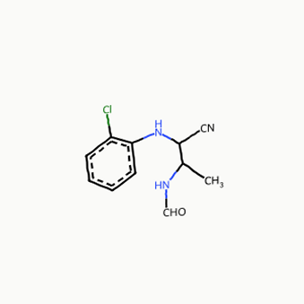 CC(NC=O)C(C#N)Nc1ccccc1Cl